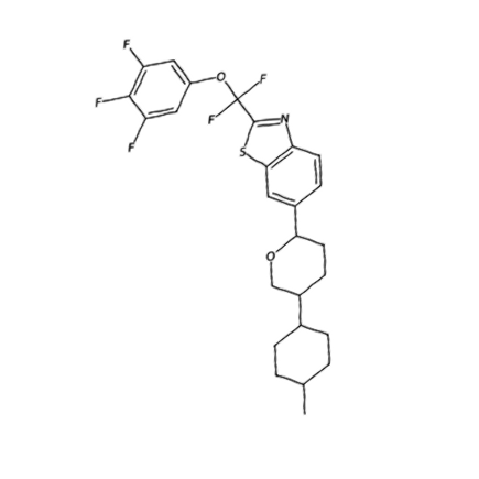 CC1CCC(C2CCC(c3ccc4nc(C(F)(F)Oc5cc(F)c(F)c(F)c5)sc4c3)OC2)CC1